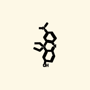 CC[Si]1(CC)C2=CC(O)C=CC2=Nc2ccc(N(C)C)cc21